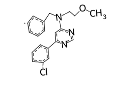 COCCN(Cc1c[c]ccc1)c1cc(-c2cccc(Cl)c2)ncn1